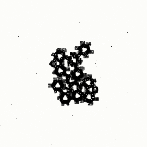 C[C@]1(c2ccccc2-c2ccccc2)c2ccccc2N(c2cccc3oc4ccccc4c23)c2ccc(-c3ccc4oc5cccc(-c6nc(-c7ccccc7)nc(-c7ccccc7)n6)c5c4c3)cc21